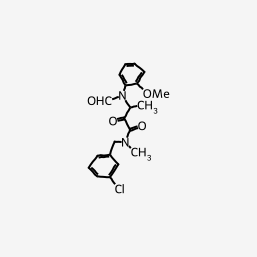 COc1ccccc1N(C=O)C(C)C(=O)C(=O)N(C)Cc1cccc(Cl)c1